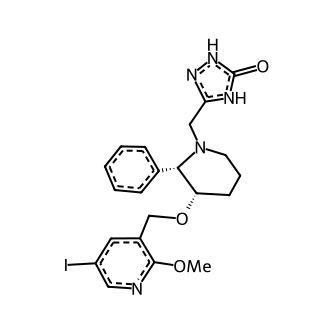 COc1ncc(I)cc1CO[C@H]1CCCN(Cc2n[nH]c(=O)[nH]2)[C@H]1c1ccccc1